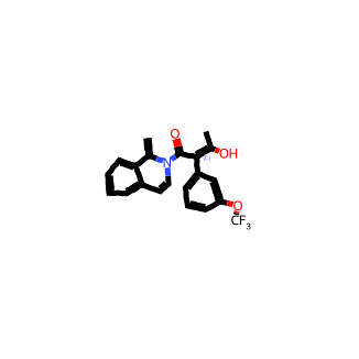 C=C1c2ccccc2C=CN1C(=O)/C(=C(\C)O)c1cccc(OC(F)(F)F)c1